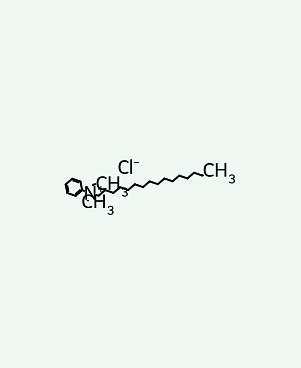 CCCCCCCCCCCCCCCC[N+](C)(CC)c1ccccc1.[Cl-]